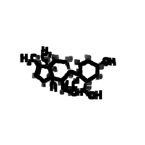 CC1=CC[C@H]2[C@H](CO)[C@@H]([C@@]3(C)CC[C@H](O)C[C@@H]3CO)CC[C@]12C